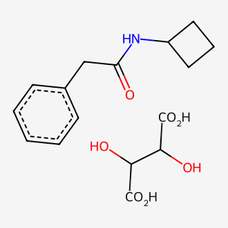 O=C(Cc1ccccc1)NC1CCC1.O=C(O)C(O)C(O)C(=O)O